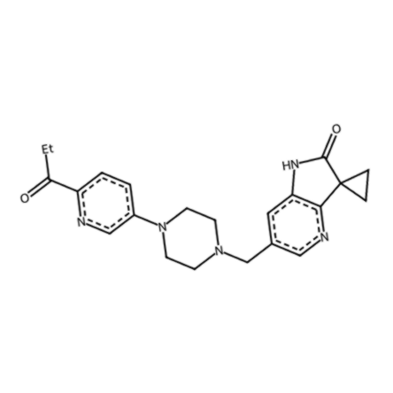 CCC(=O)c1ccc(N2CCN(Cc3cnc4c(c3)NC(=O)C43CC3)CC2)cn1